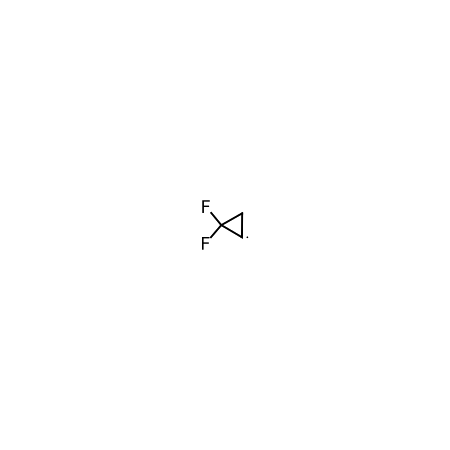 FC1(F)[CH]C1